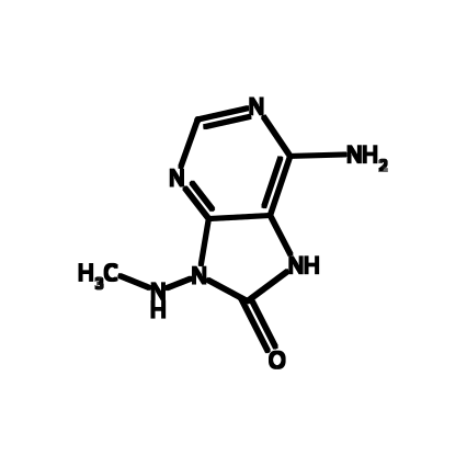 CNn1c(=O)[nH]c2c(N)ncnc21